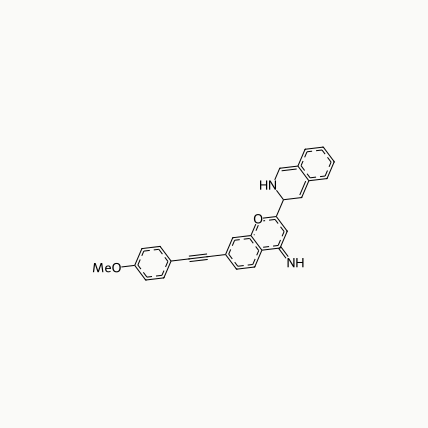 COc1ccc(C#Cc2ccc3c(=N)cc(C4C=c5ccccc5=CN4)oc3c2)cc1